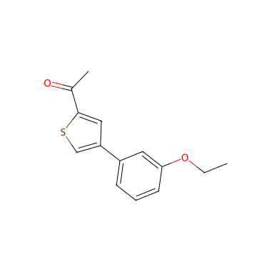 CCOc1cccc(-c2csc(C(C)=O)c2)c1